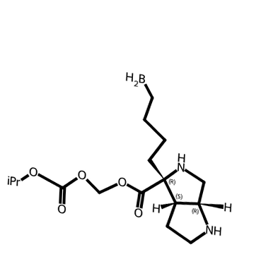 BCCCC[C@@]1(C(=O)OCOC(=O)OC(C)C)NC[C@@H]2NCC[C@@H]21